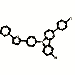 Bc1ccc2c(c1)c1cc(-c3ccc(Cl)cc3)ccc1n2-c1ccc(-c2ccc(-c3ccccc3)s2)cc1